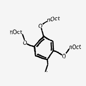 [CH2]c1cc(OCCCCCCCC)c(OCCCCCCCC)cc1OCCCCCCCC